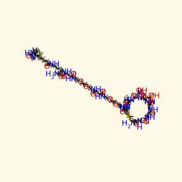 CC(C)[C@H]1NC(=O)[C@@H](CC(=O)O)NC(=O)[C@H](CC(=O)O)NC(=O)CNC(=O)CNC(=O)CNC(=O)[C@H](N)CSSC[C@H](C(=O)NCCOCCOCCNC(=O)CCC(=O)NCCOCCOCCNC(=O)CCC(=O)N[C@@H](CCCCNC(=O)CCCC[C@@H]2SC[C@@H]3NC(=O)N(C)C32)C(N)=O)NC1=O